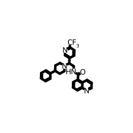 O=C(NCC(c1ccc(C(F)(F)F)nc1)N1CCC(c2ccccc2)CC1)c1cccc2ncccc12